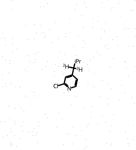 [2H]C([2H])(c1ccnc(Cl)c1)C(C)C